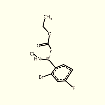 CCOC(=O)C[C@@H](NCl)c1ccc(F)cc1Br